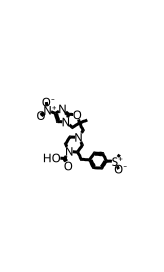 C[S+]([O-])c1ccc(CC2CN(CC3(C)Cn4cc([N+](=O)[O-])nc4O3)CCN2C(=O)O)cc1